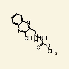 COC(=O)NNCc1nc2ccccc2nc1O